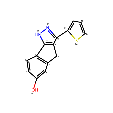 Oc1ccc2c(c1)Cc1c(-c3cccs3)n[nH]c1-2